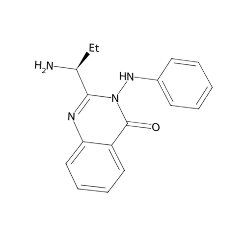 CC[C@H](N)c1nc2ccccc2c(=O)n1Nc1ccccc1